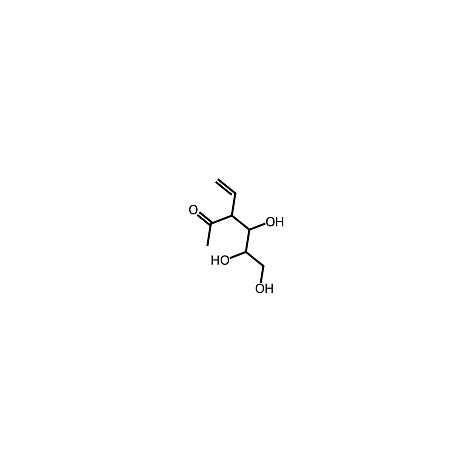 C=CC(C(C)=O)C(O)C(O)CO